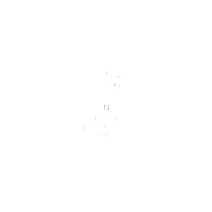 CC(C)(C)OC(=O)N1CCC(OS(C)(=O)=O)CC12CC2